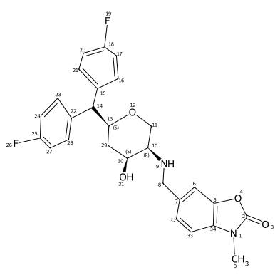 Cn1c(=O)oc2cc(CN[C@@H]3CO[C@H](C(c4ccc(F)cc4)c4ccc(F)cc4)C[C@@H]3O)ccc21